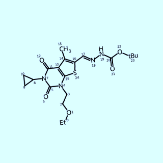 CCOCCn1c(=O)n(C2CC2)c(=O)c2c(C)c(/C=N/NC(=O)OC(C)(C)C)sc21